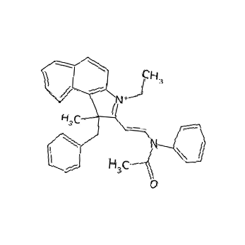 CC[N+]1=C(/C=C/N(C(C)=O)c2ccccc2)C(C)(Cc2ccccc2)c2c1ccc1ccccc21